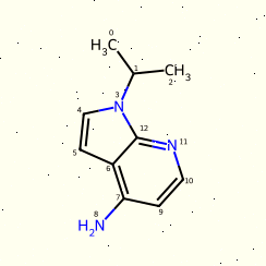 CC(C)n1ccc2c(N)ccnc21